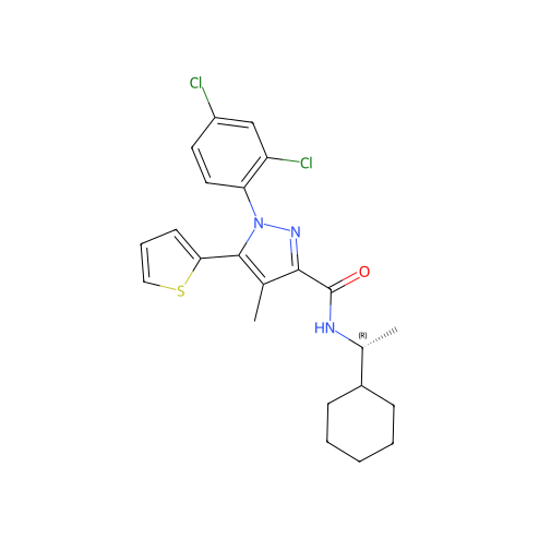 Cc1c(C(=O)N[C@H](C)C2CCCCC2)nn(-c2ccc(Cl)cc2Cl)c1-c1cccs1